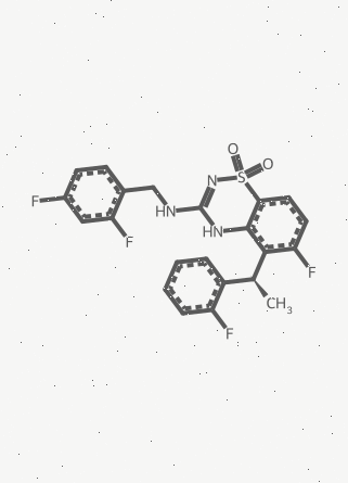 C[C@@H](c1ccccc1F)c1c(F)ccc2c1NC(NCc1ccc(F)cc1F)=NS2(=O)=O